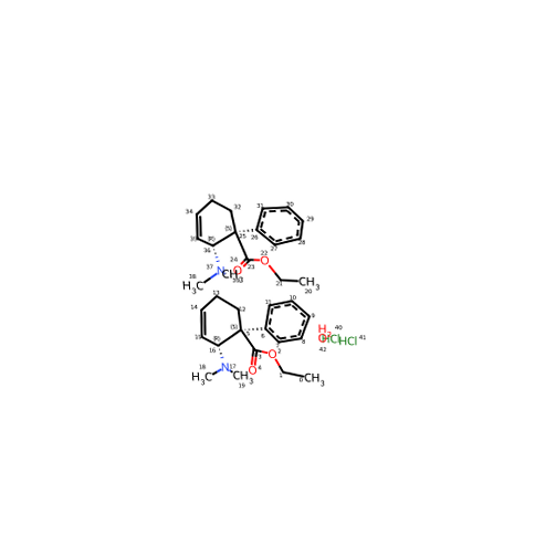 CCOC(=O)[C@]1(c2ccccc2)CCC=C[C@H]1N(C)C.CCOC(=O)[C@]1(c2ccccc2)CCC=C[C@H]1N(C)C.Cl.Cl.O